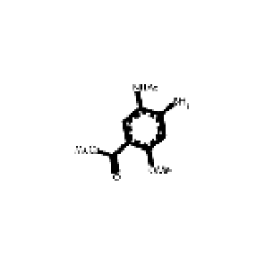 Bc1cc(OC)c(C(=O)OC)cc1NC(C)=O